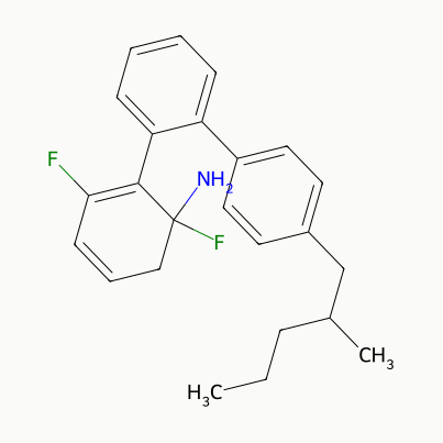 CCCC(C)Cc1ccc(-c2ccccc2C2=C(F)C=CCC2(N)F)cc1